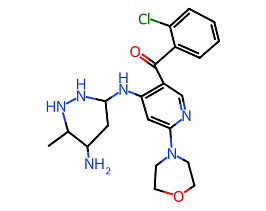 CC1NNC(Nc2cc(N3CCOCC3)ncc2C(=O)c2ccccc2Cl)CC1N